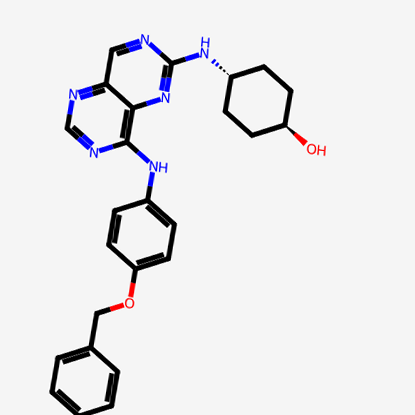 O[C@H]1CC[C@H](Nc2ncc3ncnc(Nc4ccc(OCc5ccccc5)cc4)c3n2)CC1